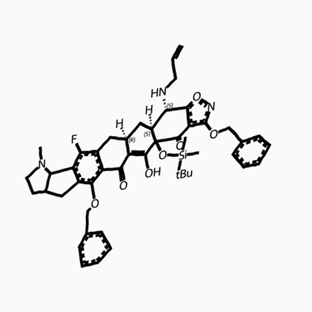 C=CCN[C@@H]1c2onc(OCc3ccccc3)c2C(=O)C2(O[Si](C)(C)C(C)(C)C)C(O)=C3C(=O)c4c(c(F)c5c(c4OCc4ccccc4)CC4CCN(C)C54)C[C@H]3C[C@@H]12